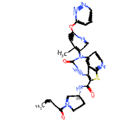 C=CC(=O)N1CC[C@@H](NC(=O)c2sc3nccc4c3c2NC(=O)N4c2cnc(Oc3cccnn3)cc2C)C1